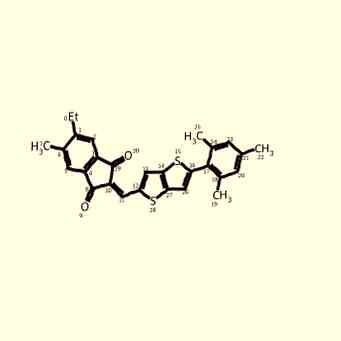 CCc1cc2c(cc1C)C(=O)/C(=C/c1cc3sc(-c4c(C)cc(C)cc4C)cc3s1)C2=O